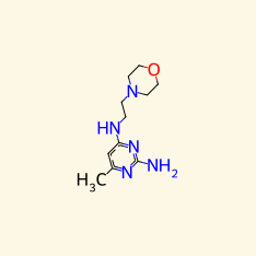 Cc1cc(NCCN2CCOCC2)nc(N)n1